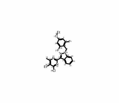 CCOc1cc(F)c(Cn2nc(-c3nc(C)c(CC)c(Cl)n3)c3ccccc32)c(F)c1